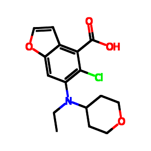 CCN(c1cc2occc2c(C(=O)O)c1Cl)C1CCOCC1